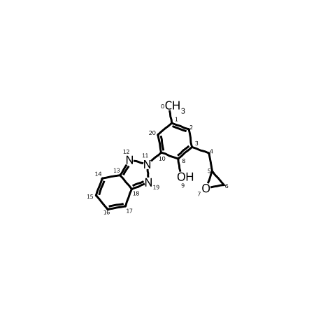 Cc1cc(CC2CO2)c(O)c(-n2nc3ccccc3n2)c1